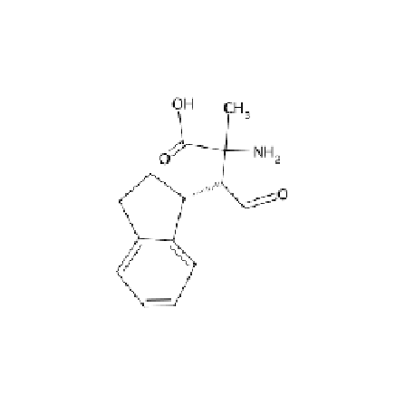 CC(N)(C(=O)O)C(C=O)[C@H]1CCc2ccccc21